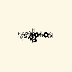 CC(C)(C)[Si](C)(C)OC1CCC2(C1)C(=O)Nc1cc(C(=O)Nc3ccc(OC(F)(F)Cl)cc3)cc(-c3ccn[nH]3)c12